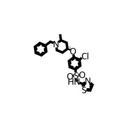 CC1C[C@@H](Oc2ccc(S(=O)(=O)Nc3nccs3)cc2Cl)CCN1Cc1ccccc1